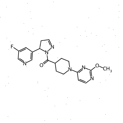 COc1nccc(N2CCC(C(=O)N3N=CCC3c3cncc(F)c3)CC2)n1